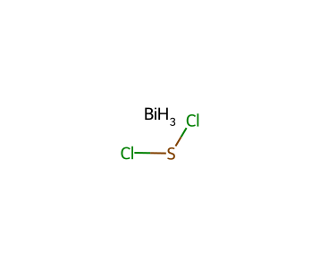 ClSCl.[BiH3]